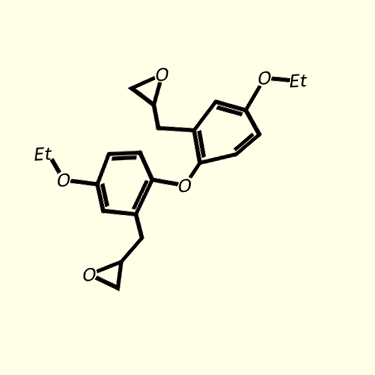 CCOc1ccc(Oc2ccc(OCC)cc2CC2CO2)c(CC2CO2)c1